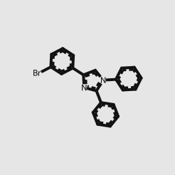 Brc1cccc(-c2cn(-c3ccccc3)c(-c3ccccc3)n2)c1